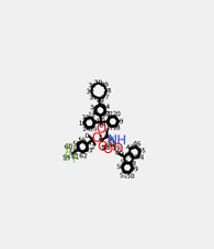 CC(C)(OC(=O)C(COC(c1ccccc1)(c1ccccc1)c1ccc(C2CCCCCCC2)cc1)NC(=O)OCC1C2=C(C=C=C=C2)c2ccccc21)c1ccc(C(F)(F)F)cc1